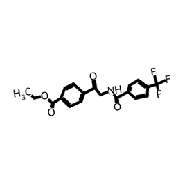 CCOC(=O)c1ccc(C(=O)CNC(=O)c2ccc(C(F)(F)F)cc2)cc1